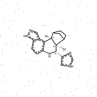 c1nc([C@@H]2Nc3ccc4[nH]ncc4c3[C@H]3C4CCC(C4)[C@@H]23)c[nH]1